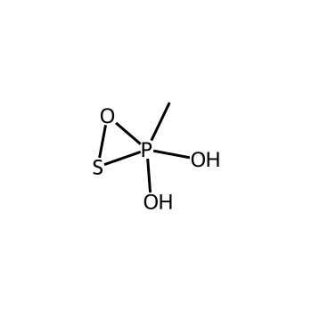 CP1(O)(O)OS1